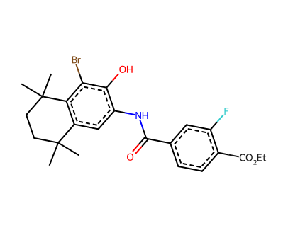 CCOC(=O)c1ccc(C(=O)Nc2cc3c(c(Br)c2O)C(C)(C)CCC3(C)C)cc1F